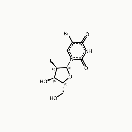 O=c1[nH]c(=O)n([C@@H]2O[C@H](CO)[C@@H](O)[C@H]2I)cc1Br